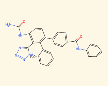 NC(=O)Nc1ccc(-c2ccc(C(=O)Nc3ccccc3)cc2)c(-c2ccccc2C(F)(F)F)c1-c1nnn[nH]1